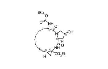 CCOC(=O)[C@@]12C[C@H]1C=CCCCCC[C@H](NC(=O)OC(C)(C)C)C(=O)N1C[C@@H](O)C[C@H]1C(=O)N2